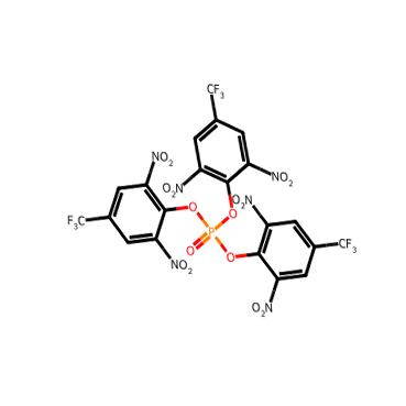 O=[N+]([O-])c1cc(C(F)(F)F)cc([N+](=O)[O-])c1OP(=O)(Oc1c([N+](=O)[O-])cc(C(F)(F)F)cc1[N+](=O)[O-])Oc1c([N+](=O)[O-])cc(C(F)(F)F)cc1[N+](=O)[O-]